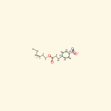 CC/C=C\CCOC(=O)CCc1ccc([N+](=O)[O-])cc1